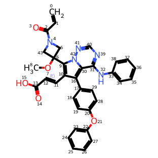 C=CC(=O)N1CC(OC)(c2c(/C=C/C(=O)O)c(-c3ccc(Oc4ccccc4)cc3)c3c(Nc4ccccc4)ncnn23)C1